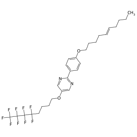 CCCCC=CCCCCOc1ccc(-c2ncc(OCCCCC(F)(F)C(F)(F)C(F)(F)C(F)(F)F)cn2)cc1